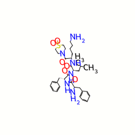 CC(C)C[C@@H](NC(=O)[C@@H](Cc1ccccc1)NC(=O)[C@H](N)Cc1ccccc1)C(=O)N[C@H](CCCCN)C(=O)N1CCS(=O)(=O)CC1